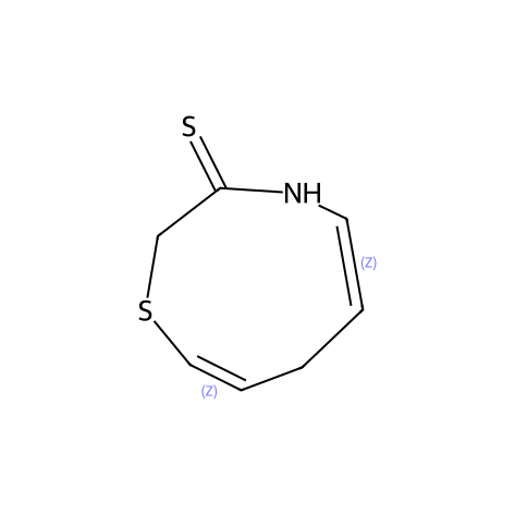 S=C1CS/C=C\C/C=C\N1